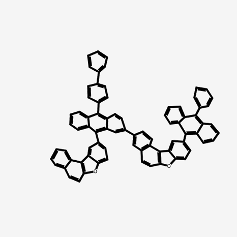 c1ccc(-c2ccc(-c3c4ccccc4c(-c4ccc5oc6ccc7ccccc7c6c5c4)c4cc(-c5ccc6c(ccc7oc8ccc(-c9c%10ccccc%10c(-c%10ccccc%10)c%10ccccc9%10)cc8c76)c5)ccc34)cc2)cc1